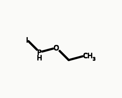 CCOPI